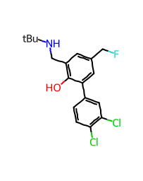 CC(C)(C)NCc1cc(CF)cc(-c2ccc(Cl)c(Cl)c2)c1O